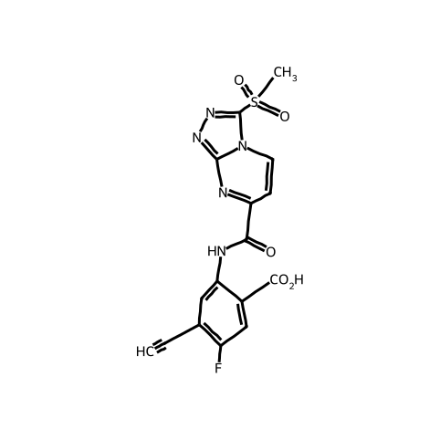 C#Cc1cc(NC(=O)c2ccn3c(S(C)(=O)=O)nnc3n2)c(C(=O)O)cc1F